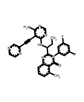 CCC(Nc1ncnc(N)c1C#Cc1cnccn1)c1nc2cccc(C)c2c(=O)n1-c1cc(F)cc(F)c1